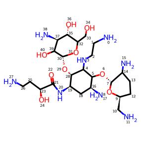 NCCNC1C(O[C@H]2O[C@H](CN)CCC2N)[C@@H](N)C[C@@H](NC(=O)[C@@H](O)CCN)[C@@H]1O[C@H]1OC(CO)[C@@H](O)[C@H](N)C1O